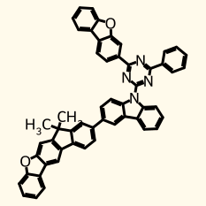 CC1(C)c2cc(-c3ccc4c(c3)c3ccccc3n4-c3nc(-c4ccccc4)nc(-c4ccc5c(c4)oc4ccccc45)n3)ccc2-c2cc3c(cc21)oc1ccccc13